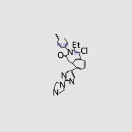 C=C/C=C\C(=C/C)N1C(=O)CC2C=C(C=CC=C2c2cnc(N3CCN(C)CC3)nc2)/C(Cl)=C\1CC